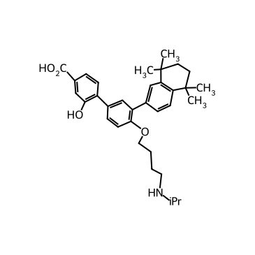 CC(C)NCCCCOc1ccc(-c2ccc(C(=O)O)cc2O)cc1-c1ccc2c(c1)C(C)(C)CCC2(C)C